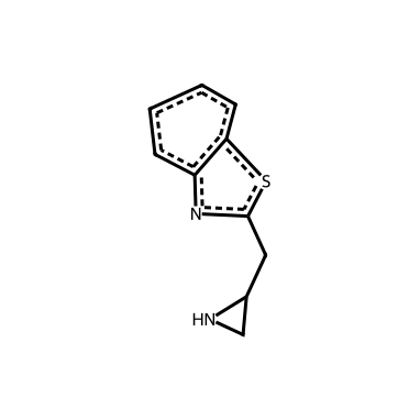 c1ccc2sc(CC3CN3)nc2c1